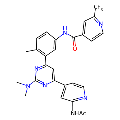 CC(=O)Nc1cc(-c2cc(-c3cc(NC(=O)c4ccnc(C(F)(F)F)c4)ccc3C)nc(N(C)C)n2)ccn1